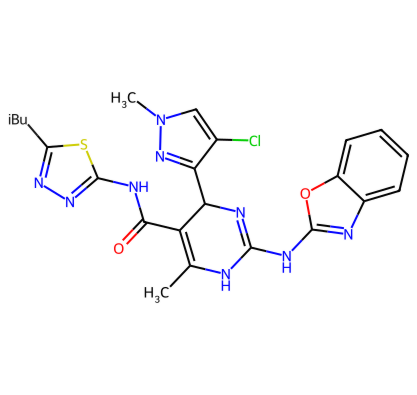 CCC(C)c1nnc(NC(=O)C2=C(C)NC(Nc3nc4ccccc4o3)=NC2c2nn(C)cc2Cl)s1